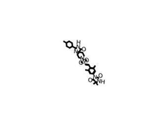 Cc1cc(N2C(=O)NC(C)(C)C2=O)cc(C)c1C=CS(=O)(=O)N1CCC2(CC1)N=C(C1CCC(C)CC1)NC2=O